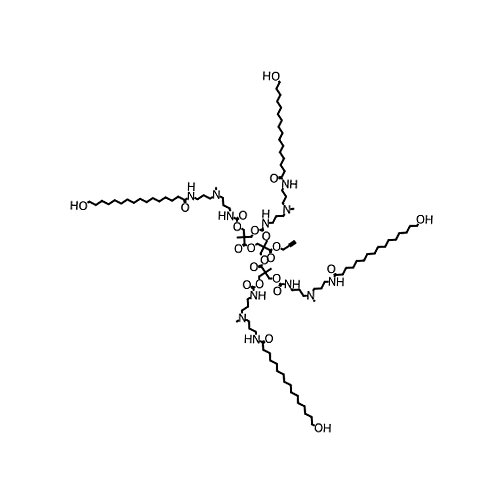 C#CCOC(=O)C(C)(COC(=O)C(C)(COC(=O)NCCCN(C)CCCNC(=O)CCCCCCCCCCCCCCCO)COC(=O)NCCCN(C)CCCNC(=O)CCCCCCCCCCCCCCCO)COC(=O)C(C)(COC(=O)NCCCN(C)CCCNC(=O)CCCCCCCCCCCCCCCO)COC(=O)NCCCN(C)CCCNC(=O)CCCCCCCCCCCCCCCO